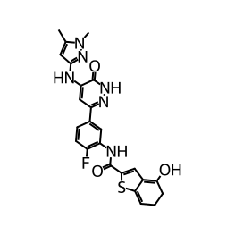 Cc1cc(Nc2cc(-c3ccc(F)c(NC(=O)c4cc5c(s4)=CCCC=5O)c3)n[nH]c2=O)nn1C